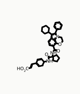 O=C(O)/C=C/C1=CCC(NC(=O)C2(NC(=O)c3ccc4c(C5CCCCC5)c(-c5ccccc5)n5c4c3OCC5)CCCC2)C=C1